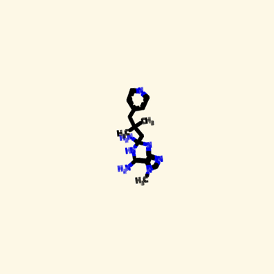 Cn1cnc2c1=C(N)NC(N)(CC(C)(C)Cc1ccncc1)N=2